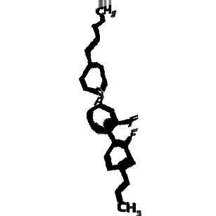 CCCCC[C@H]1CC[Si@H](c2ccc(-c3ccc(CCC)cc3F)c(F)c2)CC1